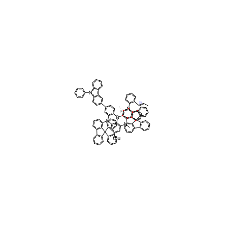 C/C=C/c1ccccc1N(c1ccccc1)[C@@H](C)C(C)B1c2ccc(-c3ccc4c(c3)c3ccccc3n4-c3ccccc3)cc2N(c2cccc3c2C2(c4ccccc4-c4ccccc42)c2ccccc2-3)c2cc(C(C)(C)C)cc(N(C)c3cccc4c3C3(c5ccccc5-c5ccccc53)c3ccccc3-4)c21